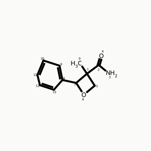 CC1(C(N)=O)COC1c1ccccc1